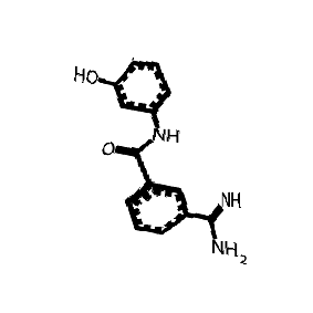 N=C(N)c1cccc(C(=O)Nc2cc[c]c(O)c2)c1